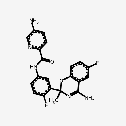 CC1(c2cc(NC(=O)c3ccc(N)cn3)ccc2F)N=C(N)c2cc(F)ccc2O1